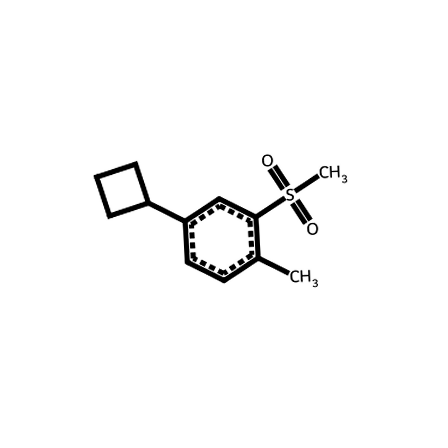 Cc1ccc(C2CCC2)cc1S(C)(=O)=O